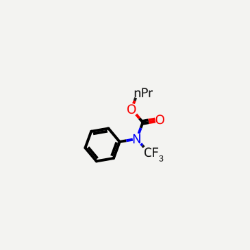 [CH2]CCOC(=O)N(c1ccccc1)C(F)(F)F